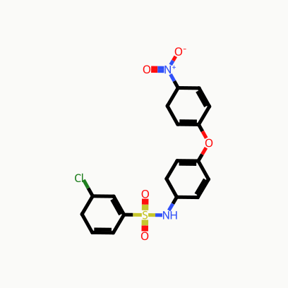 O=[N+]([O-])C1C=CC(OC2=CCC(NS(=O)(=O)C3=CC(Cl)CC=C3)C=C2)=CC1